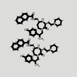 CC(CN1CC[C@@H](CNC(=O)c2ccc3ccccc3c2)N[C@@H](CCN2CCCCC2)C1=O)c1ccc(Cl)cc1.CC(CN1CC[C@@H](CNC(=O)c2ccc3ccccc3c2)N[C@@H](CCN2CCCCC2)C1=O)c1ccc(Cl)cc1